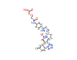 O=C(O)COCC(=O)Nc1ccc(-c2cnc([C@@H]3CCc4cc(-c5cc(Cl)ccc5-n5cnnn5)cc(=O)n43)[nH]2)cc1